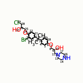 CC(C)(c1ccc(OC[C@H](O)CN2CCNCC2)cc1)c1ccc(OC[C@@H](O)CCl)c(Br)c1